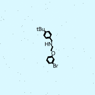 CC(C)(C)c1ccc(CNCCOc2cccc(Br)c2)cc1